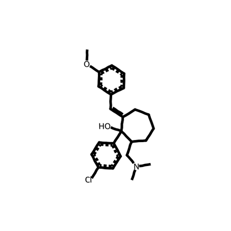 COc1cccc(C=C2CCCCC(CN(C)C)C2(O)c2ccc(Cl)cc2)c1